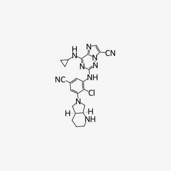 N#Cc1cc(Nc2nc(NC3CC3)c3ncc(C#N)n3n2)c(Cl)c(N2C[C@@H]3CCCN[C@@H]3C2)c1